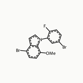 COc1ccc(Br)c2ccn(-c3cc(Br)ccc3F)c12